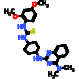 COc1ccc(NC(=S)NC2CCC(Nc3nc(N(C)C)c4ccccc4n3)CC2)c(OC)c1